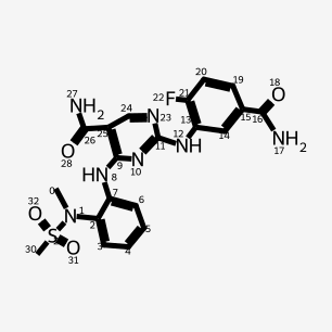 CN(c1ccccc1Nc1nc(Nc2cc(C(N)=O)ccc2F)ncc1C(N)=O)S(C)(=O)=O